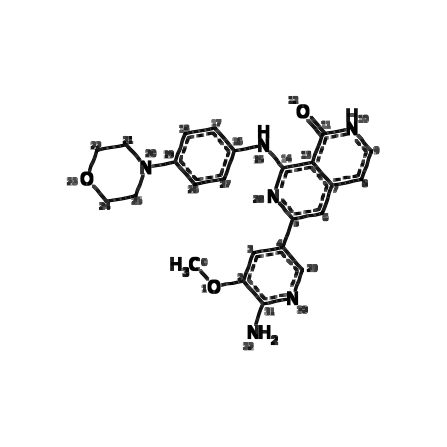 COc1cc(-c2cc3cc[nH]c(=O)c3c(Nc3ccc(N4CCOCC4)cc3)n2)cnc1N